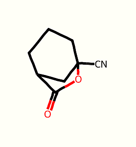 N#CC12CCCC(C1)C(=O)O2